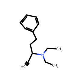 C#CC(CCc1ccccc1)N(CC)CC